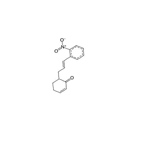 O=C1C=CCCC1CC=Cc1ccccc1[N+](=O)[O-]